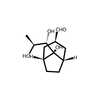 C[C@H](O)[C@H](O)[C@@]1(O)[C@@H]2CC[C@H]1C[C@H](C=O)C2